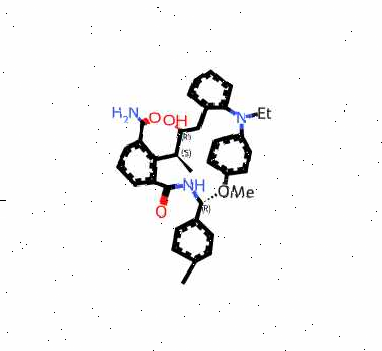 CCN(c1ccc(OC)cc1)c1ccccc1C[C@@H](O)[C@@H](C)c1c(C(N)=O)cccc1C(=O)N[C@H](C)c1ccc(C)cc1